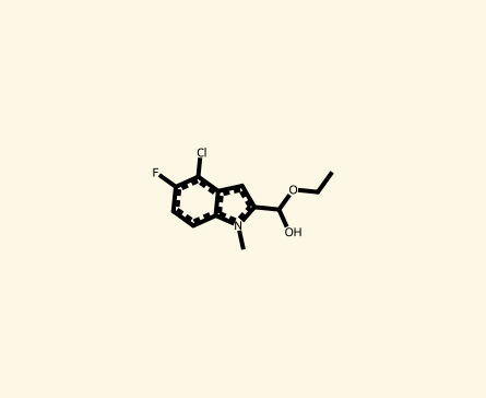 CCOC(O)c1cc2c(Cl)c(F)ccc2n1C